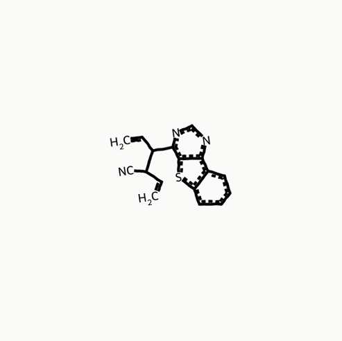 C=CC(C#N)C(C=C)c1ncnc2c1sc1ccccc12